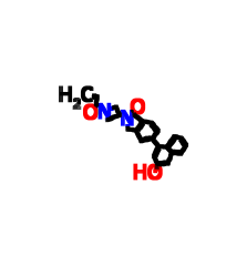 C=CC(=O)N1CC(N2Cc3cc(-c4cc(O)cc5ccccc45)ccc3C2=O)C1